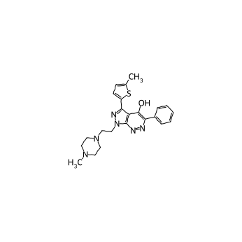 Cc1ccc(-c2nn(CCN3CCN(C)CC3)c3nnc(-c4ccccc4)c(O)c23)s1